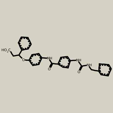 O=C(O)CC(Oc1ccc(NC(=O)c2ccc(NC(=O)NCc3ccccc3)cc2)cc1)c1ccccc1